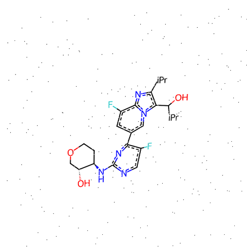 CC(C)c1nc2c(F)cc(-c3nc(N[C@@H]4CCOC[C@H]4O)ncc3F)cn2c1C(O)C(C)C